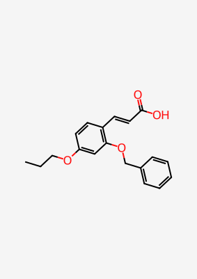 CCCOc1ccc(C=CC(=O)O)c(OCc2ccccc2)c1